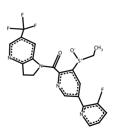 CC[S+]([O-])c1cc(-c2ncccc2F)cnc1C(=O)N1CCc2ncc(C(F)(F)F)cc21